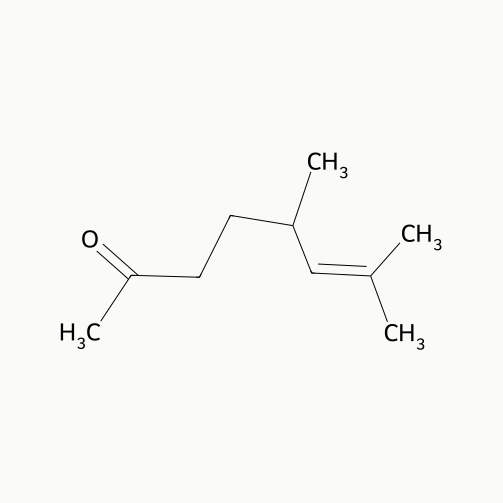 CC(=O)CCC(C)C=C(C)C